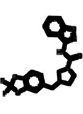 O=C(Nc1noc2ccccc12)N1CCC(Cc2ccc3c(c2)OC(F)(F)O3)C1